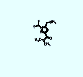 CN(C)C(=O)c1cc(CN)n(C(F)F)n1